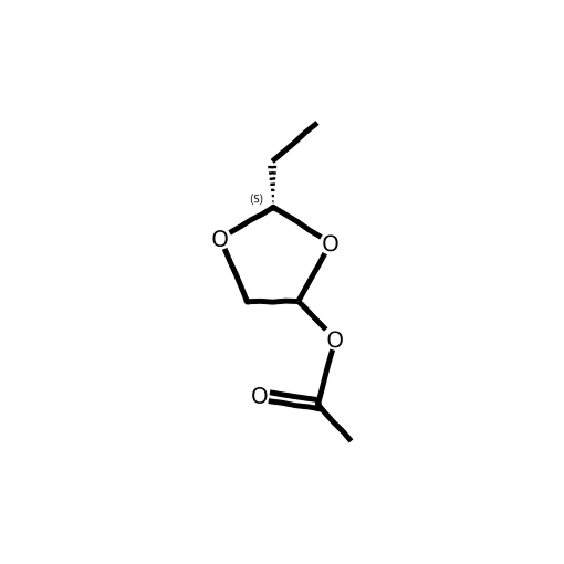 CC[C@H]1OCC(OC(C)=O)O1